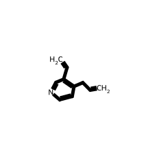 C=CCc1c[c]ncc1C=C